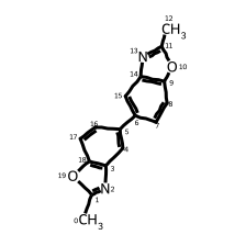 Cc1nc2cc(-c3ccc4oc(C)nc4c3)ccc2o1